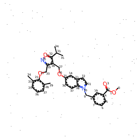 COC(=O)c1cccc(Cn2ccc3cc(OCc4c(COc5c(C)cccc5C)noc4C(C)C)ccc32)c1